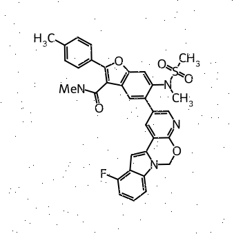 CNC(=O)c1c(-c2ccc(C)cc2)oc2cc(N(C)S(C)(=O)=O)c(-c3cnc4c(c3)-c3cc5c(F)cccc5n3CO4)cc12